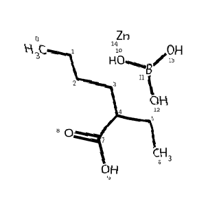 CCCCC(CC)C(=O)O.OB(O)O.[Zn]